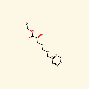 CCOC(=O)C(=O)CCCCCc1ccccc1